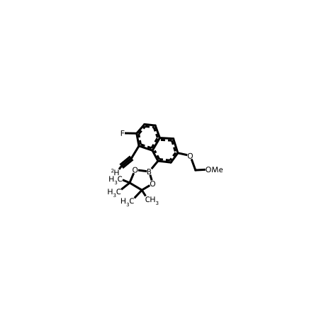 [2H]C#Cc1c(F)ccc2cc(OCOC)cc(B3OC(C)(C)C(C)(C)O3)c12